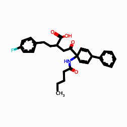 CCCCC(=O)NC1(C(=O)CC(CCc2ccc(F)cc2)C(=O)O)C=CC(c2ccccc2)C=C1